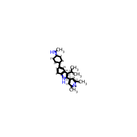 CNC1CCC(c2ccc3[nH]c(-c4cc(C)nc(C)c4)c(C(C)C)c3c2)CC1